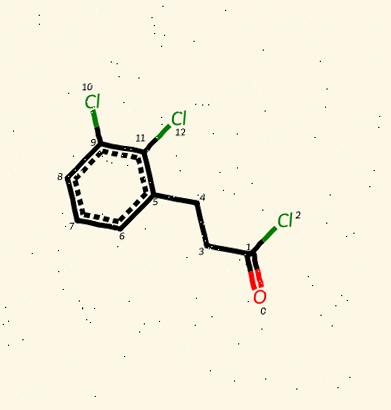 O=C(Cl)CCc1cccc(Cl)c1Cl